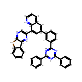 c1ccc(-c2nc(-c3ccccc3)nc(-c3cccc(-c4cc(-c5cnc6sc7ccccc7c6n5)c5ncccc5c4)c3)n2)cc1